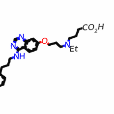 CCN(CCCOc1ccc2c(NCCCc3ccccc3)ncnc2c1)CCCC(=O)O